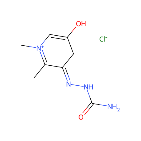 CC1=[N+](C)C=C(O)CC1=NNC(N)=O.[Cl-]